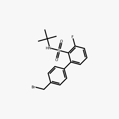 CC(C)(C)NS(=O)(=O)c1c(F)cccc1-c1ccc(CBr)cc1